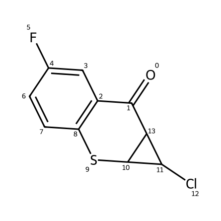 O=C1c2cc(F)ccc2SC2C(Cl)C12